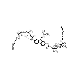 CCOC(C)OCC1c2cc(NC(=O)COC(C)(C)CCOC(C)(C)C(=O)NCCCCN=C=O)ccc2-c2ccc(NC(=O)COC(C)(C)CCOC(C)(C)C(=O)NCCCCN=C=O)cc21